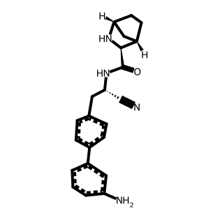 N#C[C@H](Cc1ccc(-c2cccc(N)c2)cc1)NC(=O)[C@H]1N[C@@H]2CC[C@H]1C2